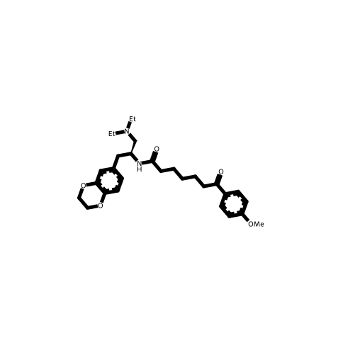 CCN(CC)C[C@H](Cc1ccc2c(c1)OCCO2)NC(=O)CCCCCC(=O)c1ccc(OC)cc1